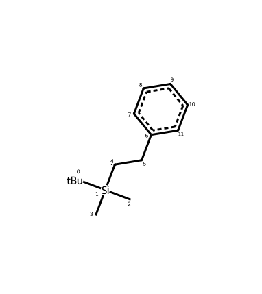 CC(C)(C)[Si](C)(C)[CH]Cc1ccccc1